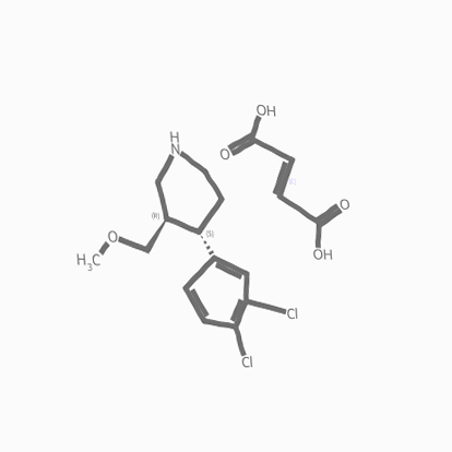 COC[C@H]1CNCC[C@@H]1c1ccc(Cl)c(Cl)c1.O=C(O)/C=C/C(=O)O